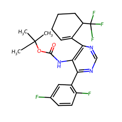 CC(C)(C)OC(=O)Nc1c(C2=CCCCC2C(F)(F)F)ncnc1-c1cc(F)ccc1F